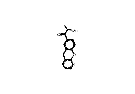 CC(O)C(=O)c1ccc2c(c1)Cc1cccnc1O2